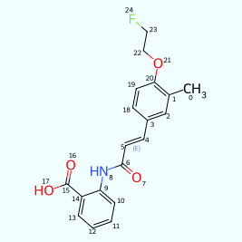 Cc1cc(/C=C/C(=O)Nc2ccccc2C(=O)O)ccc1OCCF